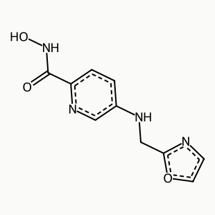 O=C(NO)c1ccc(NCc2ncco2)cn1